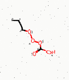 CCCOOOC(=O)O